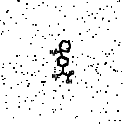 CC(C(=O)O)c1ccc(C2(C)CCCCC2)cc1